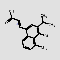 Cc1cccc2c(/C=C/C(=O)O)cc(C(C)C)c(O)c12